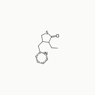 CCC1C(=O)SCC1Cc1ccccn1